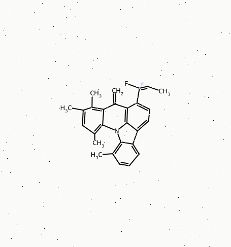 C=c1c2c(C)c(C)cc(C)c2n2c3c(C)cccc3c3ccc(/C(F)=C\C)c1c32